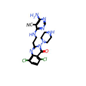 N#Cc1c(N)ncnc1NCCc1nc2c(Cl)ccc(Cl)c2c(=O)n1N1CCNCC1